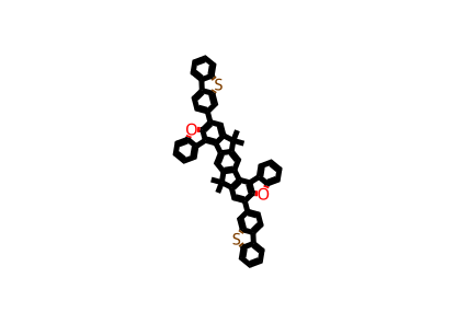 CC1(C)c2cc3c(cc2-c2c1cc(-c1ccc4c(c1)sc1ccccc14)c1oc4ccccc4c21)C(C)(C)c1cc(-c2ccc4c(c2)sc2ccccc24)c2oc4ccccc4c2c1-3